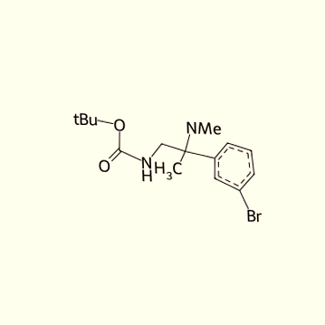 CNC(C)(CNC(=O)OC(C)(C)C)c1cccc(Br)c1